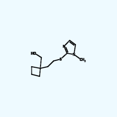 Cn1ccnc1SCCC1(CO)CCC1